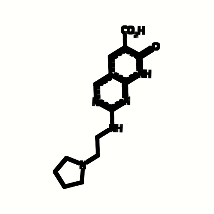 O=C(O)c1cc2cnc(NCCN3CCCC3)nc2[nH]c1=O